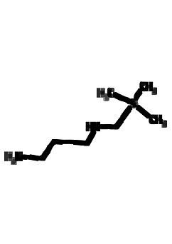 C[Si](C)(C)CNCCCN